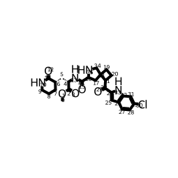 COC(=O)[C@H](C[C@@H]1CCCNC1=O)NC(=O)C1CC2(CCC2C(=O)c2cc3ccc(Cl)cc3[nH]2)CN1